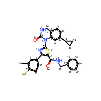 Cc1cc(-c2nc(N(C(N)=O)c3cc(C4CC4)ccc3C)sc2C(=O)NCc2ccccc2)ccc1F